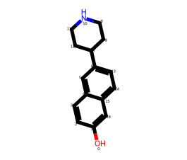 Oc1ccc2cc(C3CCNCC3)ccc2c1